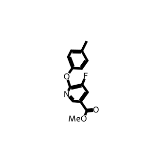 COC(=O)c1cnc(Oc2ccc(C)cc2)c(F)c1